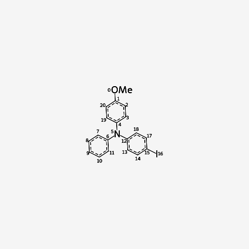 COc1ccc(N(c2ccccc2)c2ccc(I)cc2)cc1